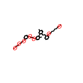 COCCCCCCOc1ccccc1CCc1ccc(C)cc1-c1cc(OCCOc2cccc(OCCOCCOC)c2)ccc1C